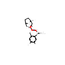 CC(=O)NCCS(=O)(=O)N1[C@@H]2CC[C@H]1C[C@H]([C@H](Cc1cc(F)c(F)cc1F)N[S+]([O-])C(C)(C)C)C2